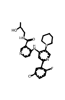 CC(O)CNC(=O)c1cnccc1Nc1cc(-c2cc(Cl)ccc2F)ncc1N1CCCCC1